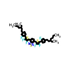 CCCCC(CC)CCc1ccc(-c2sc(-c3ccc(-c4sc(-c5ccc(CCC(CC)CCCC)cc5F)c(F)c4F)c4nsnc34)c(F)c2F)c(F)c1